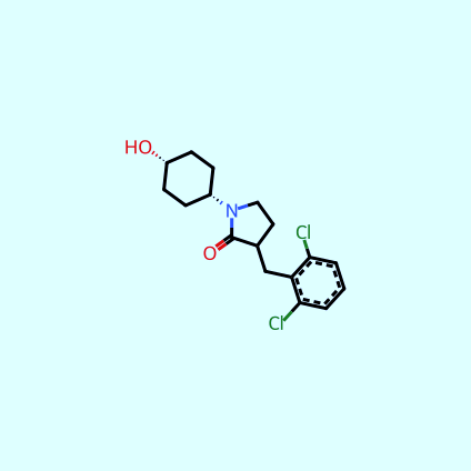 O=C1C(Cc2c(Cl)cccc2Cl)CCN1[C@H]1CC[C@@H](O)CC1